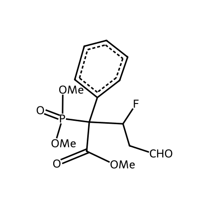 COC(=O)C(c1ccccc1)(C(F)CC=O)P(=O)(OC)OC